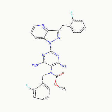 COC(=O)N(Cc1ccccc1F)c1c(N)nc(-n2nc(Cc3ccccc3F)c3ncccc32)nc1N